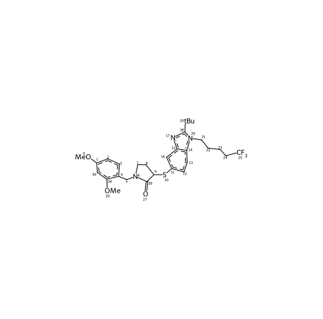 COc1ccc(CN2CCC(Sc3ccc4c(c3)nc(C(C)(C)C)n4CCCCC(F)(F)F)C2=O)c(OC)c1